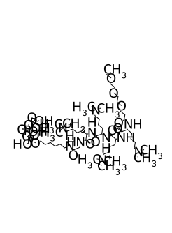 CCOCCOCCOCCC(=O)NC(CCCCN(C)C)C(=O)NC(CCCC[N+](C)(C)C)C(=O)NC(CCCCN(C)C)C(=O)NC(CCCC[N+](C)(C)C)C(=O)NCC(=O)NCCCCCCOP(=O)(O)OP(=O)(O)OP(=O)(O)O